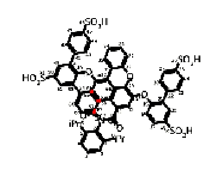 CC(C)c1cccc(C(C)C)c1-n1c(=O)c2cc(Oc3ccc(S(=O)(=O)O)cc3-c3ccc(S(=O)(=O)O)cc3)c3oc4ccccc4c4c(Oc5c(-c6ccc(S(=O)(=O)O)cc6)cc(S(=O)(=O)O)cc5-c5ccc(S(=O)(=O)O)cc5)cc(c1=O)c2c34